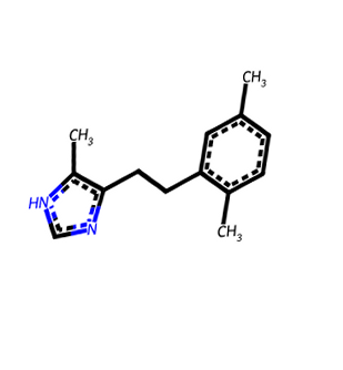 Cc1ccc(C)c(CCc2nc[nH]c2C)c1